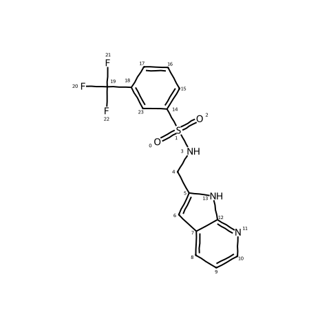 O=S(=O)(NCc1cc2cccnc2[nH]1)c1cccc(C(F)(F)F)c1